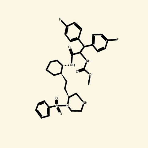 COC(=O)NC(C(=O)N[C@H]1CCCC[C@@H]1CC[C@H]1CNCCN1S(=O)(=O)c1ccccc1)C(c1ccc(F)cc1)c1ccc(F)cc1